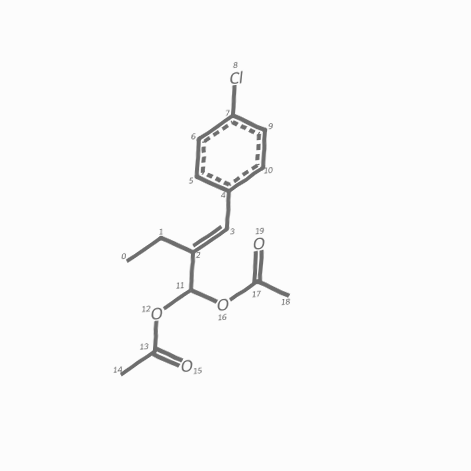 CC/C(=C\c1ccc(Cl)cc1)C(OC(C)=O)OC(C)=O